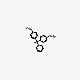 COc1ccc(C(C)(c2ccccc2)c2ccc(OC)cc2)cc1